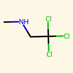 CNCC(Cl)(Cl)Cl